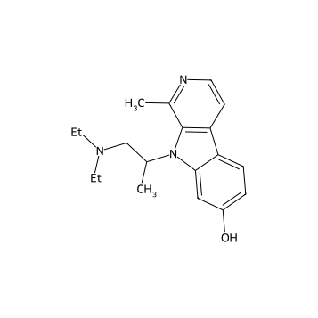 CCN(CC)CC(C)n1c2cc(O)ccc2c2ccnc(C)c21